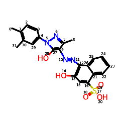 Cc1ccc(-n2nc(C)c(/N=N/c3c(O)cc(S(=O)(=O)O)c4ccccc34)c2O)cc1C